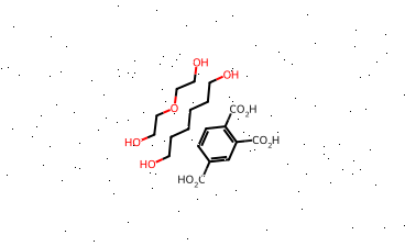 O=C(O)c1ccc(C(=O)O)c(C(=O)O)c1.OCCCCCCO.OCCOCCO